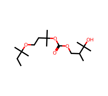 CCC(C)(C)OCCC(C)(C)OC(=O)OCC(C)C(C)(C)O